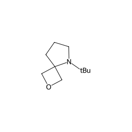 CC(C)(C)N1CCCC12COC2